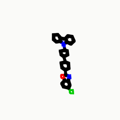 Clc1ccc2oc(-c3ccc(-c4ccc(-n5c6ccccc6c6ccccc65)cc4)cc3)nc2c1